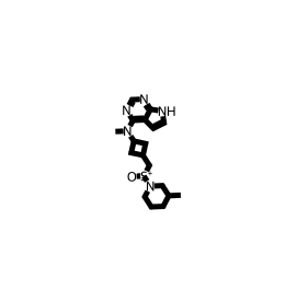 CC1CCCN([S+]([O-])CC2CC(N(C)c3ncnc4[nH]ccc34)C2)C1